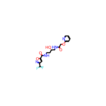 O=C(COc1ccccn1)NC[C@@H](O)CCNC(=O)c1cc(C(F)F)no1